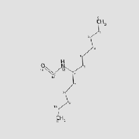 CCCCCCC(CCCCC)N[C]=O